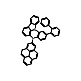 C1=CC2=CCc3cc(N4c5ccc(-c6ccccc6-c6ccccc6)cc5B5c6ccccc6-c6cccc4c65)cc4c3C2C(=C1)C=C4